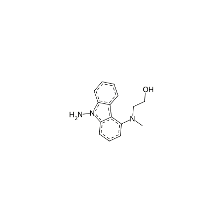 CN(CCO)c1cccc2c1c1ccccc1n2N